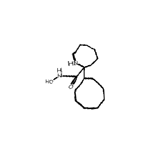 O=C(NO)C1(C2CCCCCCC2)CCCCCCN1